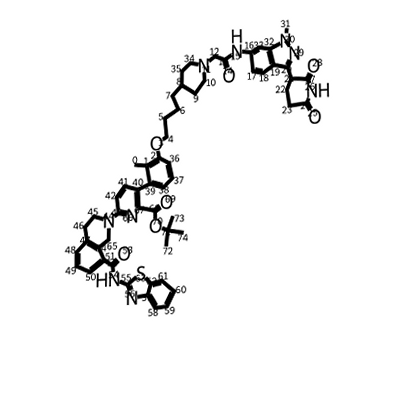 Cc1c(OCCCCC2CCN(CC(=O)Nc3ccc4c(C5CCC(=O)NC5=O)nn(C)c4c3)CC2)cccc1-c1ccc(N2CCc3cccc(C(=O)Nc4nc5ccccc5s4)c3C2)nc1C(=O)OC(C)(C)C